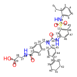 CCc1ccccc1NS(=O)(=O)c1cc(NC(=O)N(Cc2ccc(C(=O)NCCC(=O)O)cc2)c2ccc(C3=CCCCC3)cc2)ccc1C